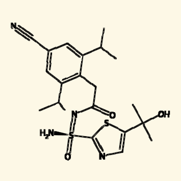 CC(C)c1cc(C#N)cc(C(C)C)c1CC(=O)N=[S@@](N)(=O)c1ncc(C(C)(C)O)s1